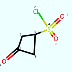 O=C1CC(S(=O)(=O)Cl)C1